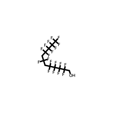 OCC(F)(F)C(F)(F)C(F)(F)C(F)(F)CC(F)(F)CC(F)(F)C(F)(F)C(F)(F)C(F)(F)F